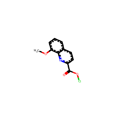 COc1cccc2ccc(C(=O)OCl)nc12